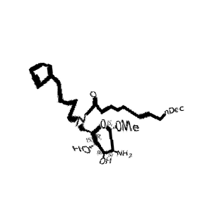 CCCCCCCCCCCCCCCCCC(=O)N(CCCCc1ccccc1)C[C@H]1O[C@H](OC)[C@@H](N)[C@@H](O)[C@@H]1O